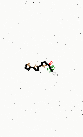 O=C(c1ccc(-c2ccc(-c3cccs3)s2)s1)C(F)(F)C(F)(F)C(F)(F)F